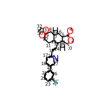 C[C@H]1OC(=O)C2C[C@@H]3CC4(CCC3C(C=Cc3ccc(-c5cccc(F)c5)cn3)[C@@H]21)OCCO4